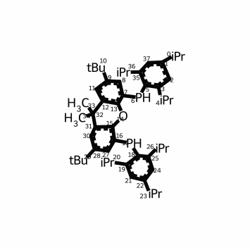 CC(C)c1cc(C(C)C)c(Pc2cc(C(C)(C)C)cc3c2Oc2c(Pc4c(C(C)C)cc(C(C)C)cc4C(C)C)cc(C(C)(C)C)cc2C3(C)C)c(C(C)C)c1